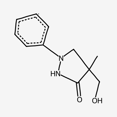 CC1(CO)CN(c2c[c]ccc2)NC1=O